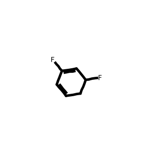 FC1=CC(F)CC=C1